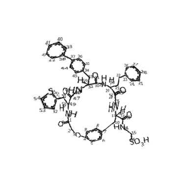 O=C1COc2ccc(cc2)C[C@@H](C(=O)NCS(=O)(=O)O)NC(=O)[C@H](CCc2ccccc2)NC(=O)[C@@H](Cc2ccc(-c3ccccc3)cc2)NC(=O)[C@H](Cc2cccs2)N1